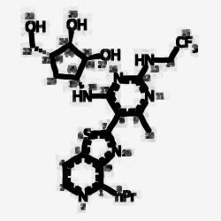 CCCc1nccc2sc(-c3c(C)nc(NCC(F)(F)F)nc3N[C@@H]3C[C@H](CO)[C@@H](O)[C@H]3O)nc12